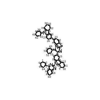 c1ccc(-c2nc(-n3c4ccccc4c4cc(-c5nc6sc7ccc(-c8ccc9c(c8)c8ccccc8n9-c8ccccc8)cc7n6c5-c5ccccc5)ccc43)nc3ccccc23)cc1